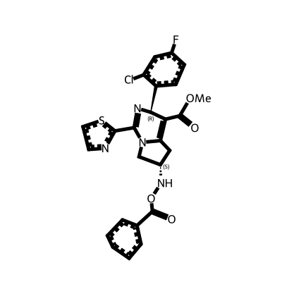 COC(=O)C1=C2C[C@H](NOC(=O)c3ccccc3)CN2C(c2nccs2)=N[C@H]1c1ccc(F)cc1Cl